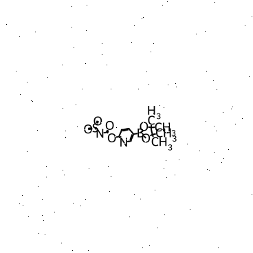 CC1(C)OB(c2ccc(OC(=O)N=S(=O)=O)nc2)OC1(C)C